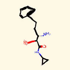 N[C@@H](CCc1ccccc1)C(O)C(=O)NC1CC1